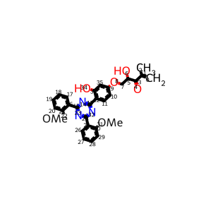 C=C(C)C(=O)C(O)COc1ccc(-c2nc(-c3ccccc3OC)nc(-c3ccccc3OC)n2)c(O)c1